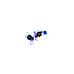 O=C(Nc1c[nH]c2cc(F)c(F)cc12)c1ccc(CN2CC(F)C2)c(F)c1